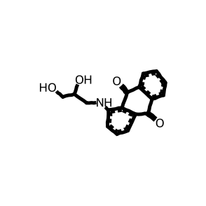 O=C1c2ccccc2C(=O)c2c(NCC(O)CO)cccc21